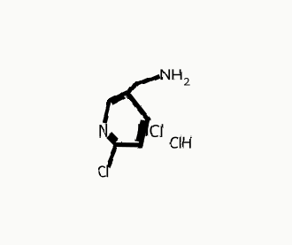 Cl.Cl.NCc1ccc(Cl)nc1